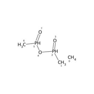 C.C[PH](=O)O[PH](C)=O